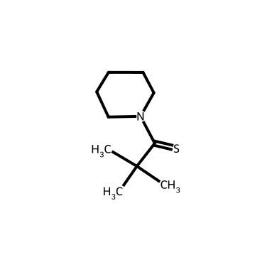 CC(C)(C)C(=S)N1CCCCC1